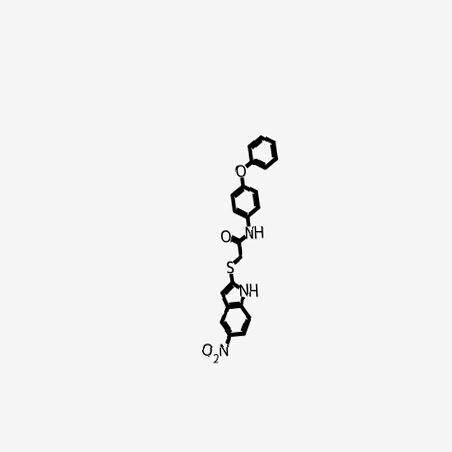 O=C(CSc1cc2cc([N+](=O)[O-])ccc2[nH]1)Nc1ccc(Oc2ccccc2)cc1